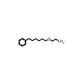 [CH2]CCOCCCCCCc1ccccc1